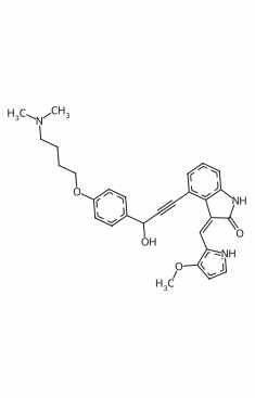 COc1cc[nH]c1/C=C1\C(=O)Nc2cccc(C#CC(O)c3ccc(OCCCCN(C)C)cc3)c21